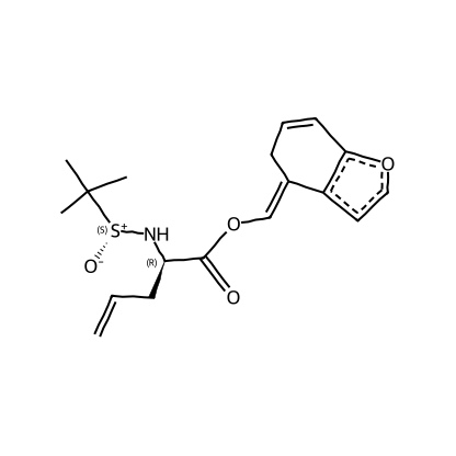 C=CC[C@@H](N[S@+]([O-])C(C)(C)C)C(=O)OC=C1CC=Cc2occc21